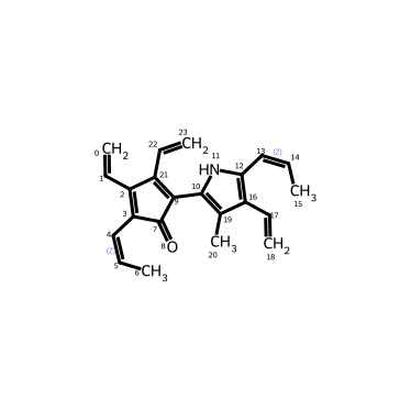 C=CC1=C(/C=C\C)C(=O)C(c2[nH]c(/C=C\C)c(C=C)c2C)=C1C=C